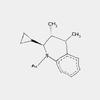 CC(=O)N1c2ccccc2C(C)[C@@H](C)[C@@H]1C1CC1